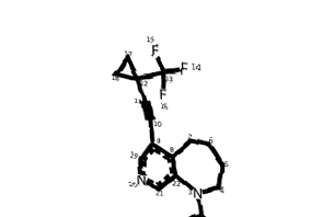 CC(C)N1CCCCc2c(C#CC3(C(F)(F)F)CC3)cncc21